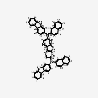 c1ccc2cc(N(c3ccc4c(c3)oc3ccccc34)c3cnc4c(n3)sc3nc(N(c5ccc6ccccc6c5)c5ccc6c(c5)oc5ccccc56)cnc34)ccc2c1